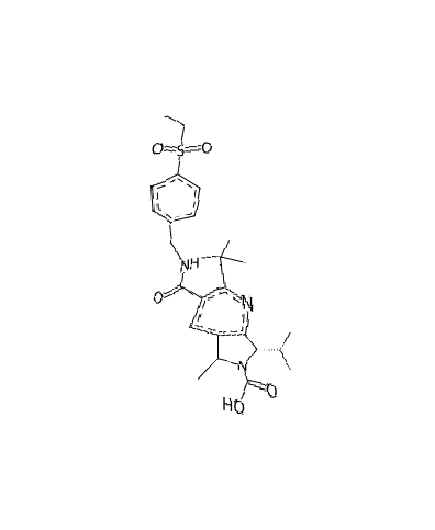 CCS(=O)(=O)c1ccc(CNC(=O)c2cc3c(nc2C(C)(C)C)[C@H](C(C)C)N(C(=O)O)C3C)cc1